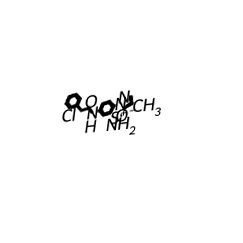 Cc1cnn(-c2ccc(NC(=O)Cc3ccccc3Cl)cc2[S+](N)[O-])c1